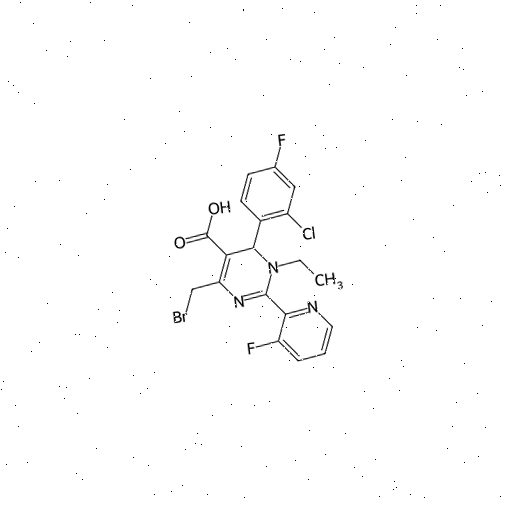 CCN1C(c2ncccc2F)=NC(CBr)=C(C(=O)O)C1c1ccc(F)cc1Cl